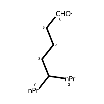 CCCC(CCC)CCC[C]=O